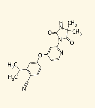 CC(C)c1cc(Oc2ccnc(N3C(=O)NC(C)(C)C3=O)c2)ccc1C#N